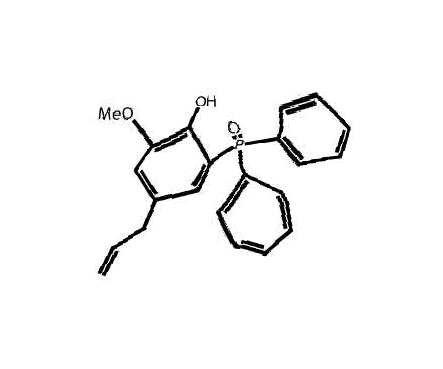 C=CCc1cc(OC)c(O)c(P(=O)(c2ccccc2)c2ccccc2)c1